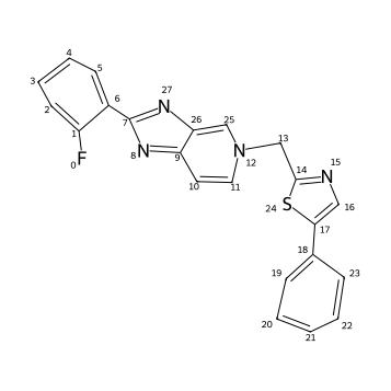 Fc1ccccc1-c1nc2ccn(Cc3ncc(-c4ccccc4)s3)cc-2n1